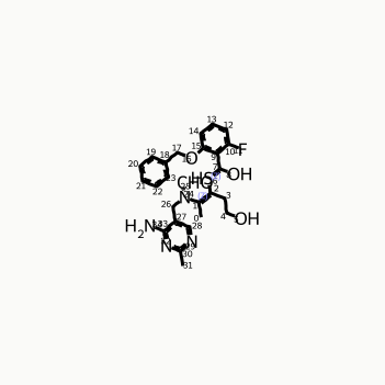 C/C(=C(CCO)/[SH]=C(\O)c1c(F)cccc1OCc1ccccc1)N(C=O)Cc1cnc(C)nc1N